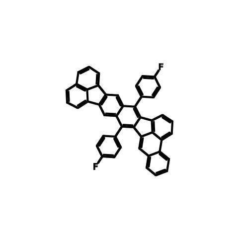 Fc1ccc(-c2c3cc4c(cc3c(-c3ccc(F)cc3)c3c5cc6ccccc6c6cccc(c23)c65)c2cccc3cccc4c32)cc1